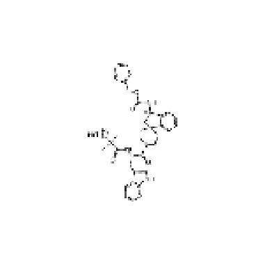 CC(C)(N)C(=O)NC(Cc1c[nH]c2ccccc12)C(=O)N1CCC2(CC1)C[C@@H](NC(=O)OCc1ccccc1)c1ccccc12.Cl